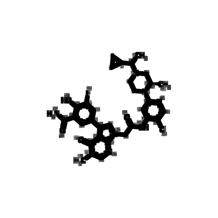 CC(C1CC1)N1CCN(c2cc(NC(=O)Cn3cc(-c4cc(F)c(O)c(C(N)=O)c4)c4c(=O)n(C)cnc43)c(Cl)cn2)[C@@H](C)C1